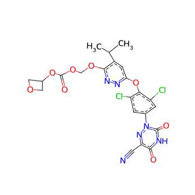 CC(C)c1cc(Oc2c(Cl)cc(-n3nc(C#N)c(=O)[nH]c3=O)cc2Cl)nnc1OCOC(=O)OC1COC1